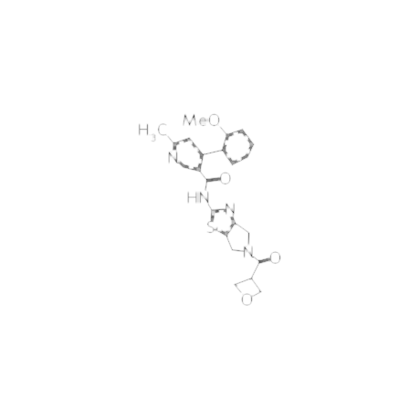 COc1ccccc1-c1cc(C)ncc1C(=O)Nc1nc2c(s1)CN(C(=O)C1COC1)C2